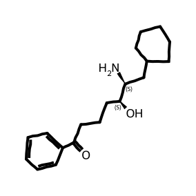 N[C@@H](CC1CCCCC1)[C@@H](O)CCCC(=O)c1ccccc1